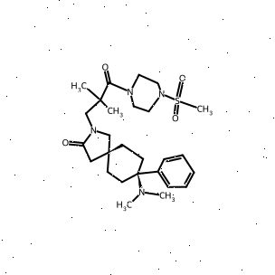 CN(C)[C@]1(c2ccccc2)CC[C@@]2(CC1)CC(=O)N(CC(C)(C)C(=O)N1CCN(S(C)(=O)=O)CC1)C2